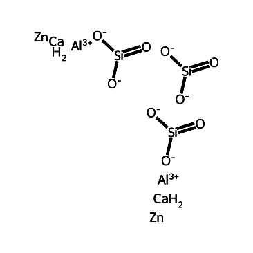 O=[Si]([O-])[O-].O=[Si]([O-])[O-].O=[Si]([O-])[O-].[Al+3].[Al+3].[CaH2].[CaH2].[Zn].[Zn]